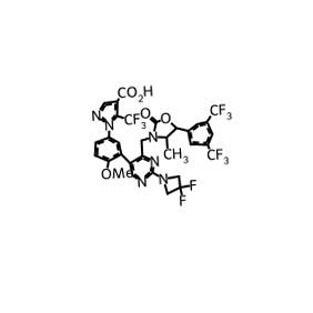 COc1ccc(-n2ncc(C(=O)O)c2C(F)(F)F)cc1-c1cnc(N2CC(F)(F)C2)nc1CN1C(=O)OC(c2cc(C(F)(F)F)cc(C(F)(F)F)c2)C1C